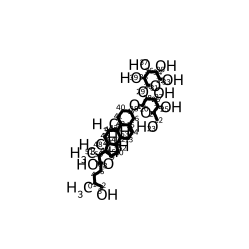 C[C@@H](CO)CCC1(O)OC2C[C@H]3[C@@H]4CC=C5CC(O[C@@H]6OC(CO)[C@@H](O)C(O)[C@@H]6O[C@@H]6OC(O)[C@H](O)C(O)[C@@H]6O)CC[C@]5(C)[C@H]4CC[C@]3(C)[C@H]2[C@@H]1C